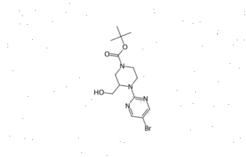 CC(C)(C)OC(=O)N1CCN(c2ncc(Br)cn2)C(CO)C1